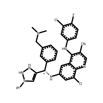 CC(C)N1C=C([C@@H](Nc2cc(Cl)c3ncc(C#N)c(Nc4ccc(F)c(Cl)c4)c3c2)c2cccc(CN(C)C)c2)NN1